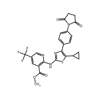 COC(=O)c1cc(C(F)(F)F)cnc1Nc1nc(-c2ccc(N3C(=O)CCC3=O)cc2)c(C2CC2)s1